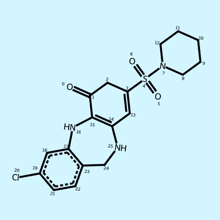 O=C1CC(S(=O)(=O)N2CCCCC2)=CC2=C1Nc1cc(Cl)ccc1CN2